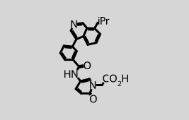 CC(C)c1cccc2c(-c3cccc(C(=O)Nc4ccc(=O)n(CC(=O)O)c4)c3)cncc12